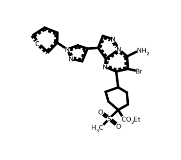 CCOC(=O)C1(S(C)(=O)=O)CCC(c2nc3c(-c4cnn(-c5ccccc5)c4)cnn3c(N)c2Br)CC1